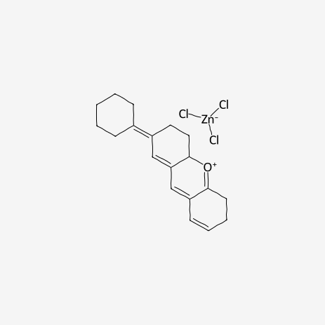 C1=CC2=CC3=CC(=C4CCCCC4)CCC3[O+]=C2CC1.[Cl][Zn-]([Cl])[Cl]